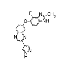 Cc1nc2c(F)c(Oc3ccc4ncc(-c5cn[nH]c5)nc4c3)ccc2[nH]1